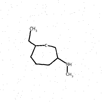 CCC1CCCC(NC)CC1